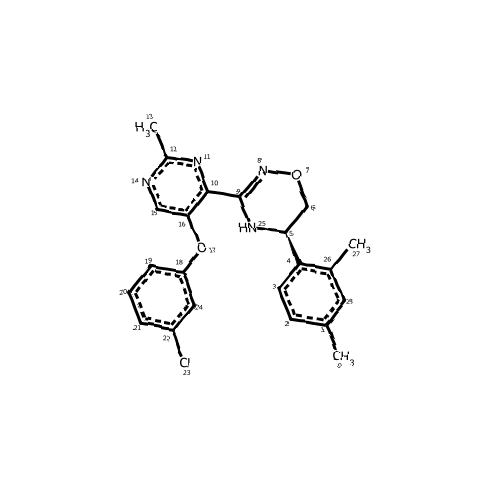 Cc1ccc([C@@H]2CON=C(c3nc(C)ncc3Oc3cccc(Cl)c3)N2)c(C)c1